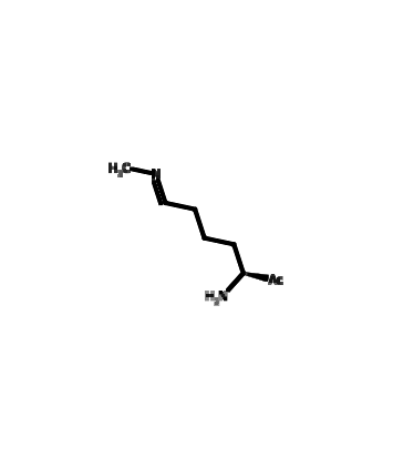 C/N=C/CCC[C@H](N)C(C)=O